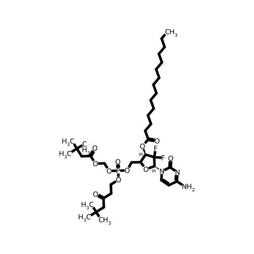 CCCCCCCCCCCCCCC(=O)O[C@@H]1C(COP(=O)(OCCC(=O)CC(C)(C)C)OCOC(=O)CC(C)(C)C)O[C@@H](n2ccc(N)nc2=O)C1(F)F